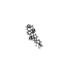 C[C@@H]1O[C@@H](c2ccc3c(c2O)C(=O)c2ccc4c(c2C3=O)C(=O)C[C@](C)(O)C4)CC[C@@H]1N(C)C